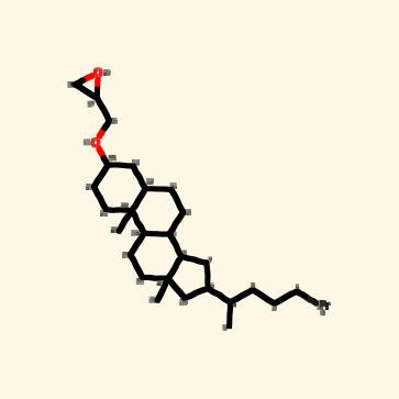 CC(C)CCCC(C)C1CC2C3CCC4CC(OCC5CO5)CCC4(C)C3CCC2(C)C1